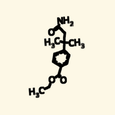 CCOC(=O)c1ccc(C(C)(C)CC(N)=O)cc1